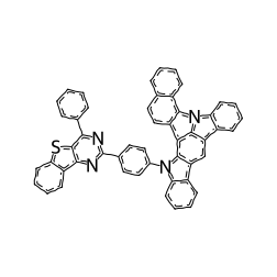 c1ccc(-c2nc(-c3ccc(-n4c5ccccc5c5cc6c7ccccc7n7c8c9ccccc9ccc8c(c54)c67)cc3)nc3c2sc2ccccc23)cc1